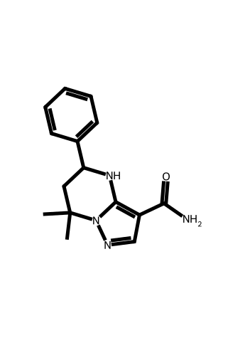 CC1(C)CC(c2ccccc2)Nc2c(C(N)=O)cnn21